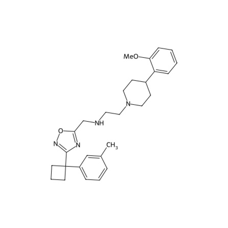 COc1ccccc1C1CCN(CCNCc2nc(C3(c4cccc(C)c4)CCC3)no2)CC1